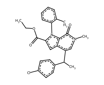 CCOC(=O)c1cc2c(C(C)c3ccc(Cl)cc3)cn(C)c(=O)c2n1-c1ccccc1C